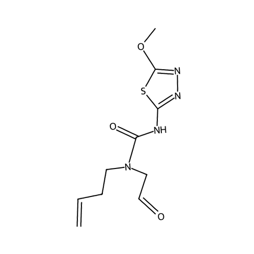 C=CCCN(CC=O)C(=O)Nc1nnc(OC)s1